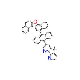 CC1(C)c2cccnc2-c2ncc(-c3c4ccccc4c(-c4cc5c(oc6ccc7ccccc7c65)c5ccccc45)c4ccccc34)cc21